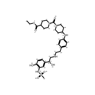 CCOC(=O)C1CCN(C(=O)N2CCC(Nc3ccc(CCNC[C@@H](O)c4ccc(O)c(NS(C)(=O)=O)c4)cc3)CC2)CC1